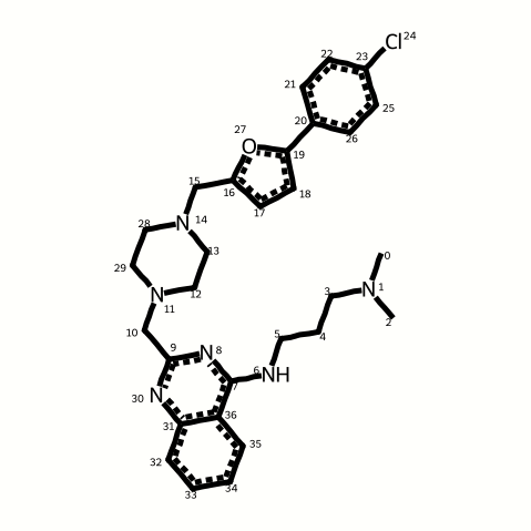 CN(C)CCCNc1nc(CN2CCN(Cc3ccc(-c4ccc(Cl)cc4)o3)CC2)nc2ccccc12